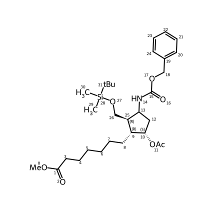 COC(=O)CCCCCC[C@H]1[C@@H](OC(C)=O)CC(NC(=O)OCc2ccccc2)[C@@H]1CO[Si](C)(C)C(C)(C)C